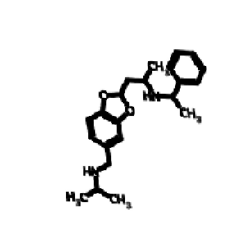 CC(C)NCc1ccc2c(c1)OC(CC(C)NC(C)c1ccccc1)O2